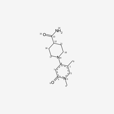 Cc1cn(C)c(=O)cc1N1CCC(C(N)=O)CC1